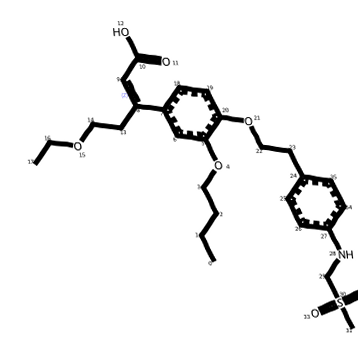 CCCCOc1cc(/C(=C\C(=O)O)CCOCC)ccc1OCCc1ccc(NCS(C)(=O)=O)cc1